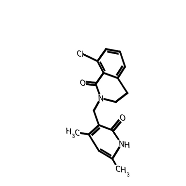 Cc1cc(C)c(CN2CCc3cccc(Cl)c3C2=O)c(=O)[nH]1